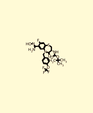 CC(C)(C)OC(=O)N[C@H]1CSc2cc(F)c(/C(N)=N/O)cc2N(Cc2ccc(OC(F)(F)F)cc2)C1=O